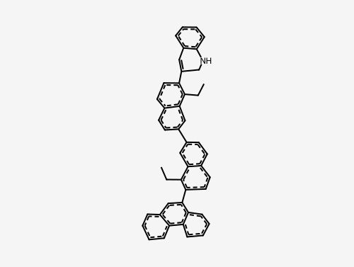 CCc1c(C2=Cc3ccccc3NC2)ccc2ccc(-c3ccc4ccc(-c5cc6ccccc6c6ccccc56)c(CC)c4c3)cc12